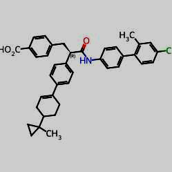 Cc1cc(Cl)ccc1-c1ccc(NC(=O)[C@H](Cc2ccc(C(=O)O)cc2)c2ccc(C3=CCC(C4(C)CC4)CC3)cc2)cc1